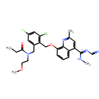 CCC(=O)N(CCOC)Cc1cc(F)cc(Cl)c1COc1cccc2c(/C(=N/C=N)NC)cc(C)nc12